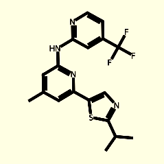 Cc1cc(Nc2cc(C(F)(F)F)ccn2)nc(-c2cnc(C(C)C)s2)c1